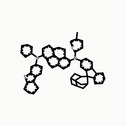 Cc1ccc(N(c2ccc3c(c2)C2(c4ccccc4-3)C3CC4CC(C3)CC2C4)c2ccc3ccc4c(N(c5ccccc5)c5ccc6c(c5)sc5ccccc56)ccc5ccc2c3c54)cc1